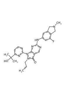 C=CCn1c(=O)c2cnc(Nc3cc(F)c4c(c3)CN(C)C4)nc2n1-c1cccc(C(C)(C)O)n1